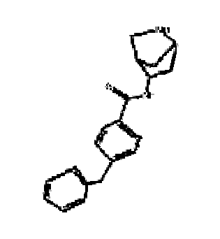 O=C(NC1CC2CC1CN2)c1ccc(Cc2ccccc2)cc1